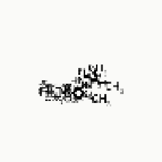 CCCc1cn(C)c2c(=O)[nH]c(-c3cc(S(=O)(=O)N4CCN(C(C)(F)CF)CC4)ccc3OCC)nc12